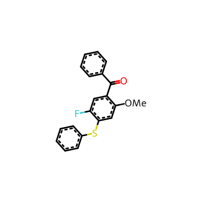 COc1cc(Sc2ccccc2)c(F)cc1C(=O)c1ccccc1